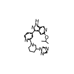 CC(C)Oc1cc2c(-c3ccnc(N4CCCC(n5cncn5)C4)c3)n[nH]c2cn1